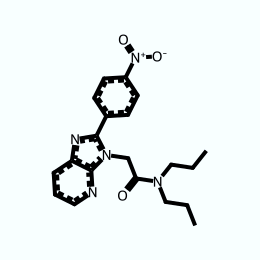 CCCN(CCC)C(=O)Cn1c(-c2ccc([N+](=O)[O-])cc2)nc2cccnc21